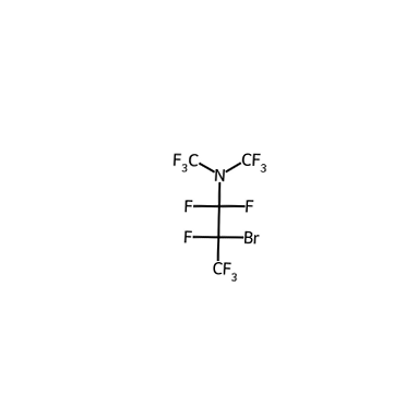 FC(F)(F)N(C(F)(F)F)C(F)(F)C(F)(Br)C(F)(F)F